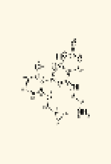 NCCNc1cc(-c2c(O)cccc2OCC2CC2)nc2c1COC(=O)N2